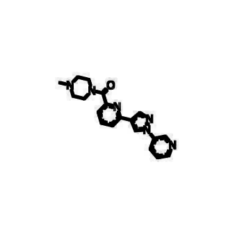 CN1CCN(C(=O)c2cccc(-c3cnn(-c4cccnc4)c3)n2)CC1